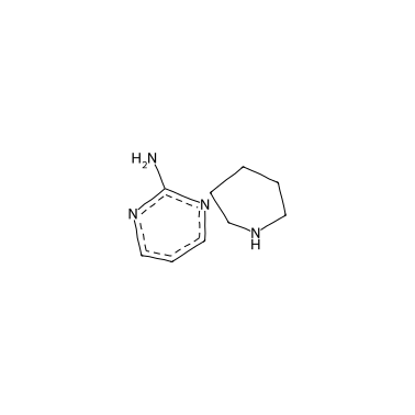 C1CCNCC1.Nc1ncccn1